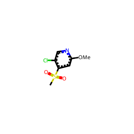 COc1cc(S(C)(=O)=O)c(Cl)cn1